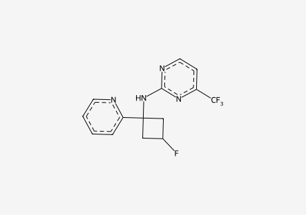 FC1CC(Nc2nccc(C(F)(F)F)n2)(c2ccccn2)C1